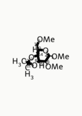 COC[C@H]1O[C@H](OC)[C@H](OC)[C@H]2OC(C)(C)O[C@H]21